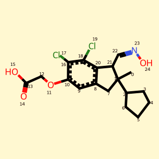 CC1(C2CCCC2)Cc2cc(OCC(=O)O)c(Cl)c(Cl)c2C1/C=N\O